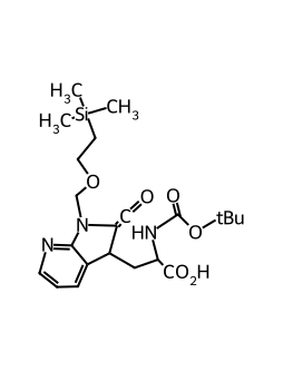 CC(C)(C)OC(=O)NC(CC1C(=C=O)N(COCC[Si](C)(C)C)c2ncccc21)C(=O)O